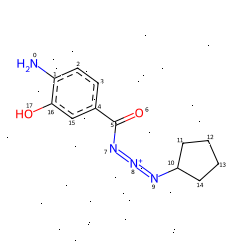 Nc1ccc(C(=O)N=[N+]=NC2CCCC2)cc1O